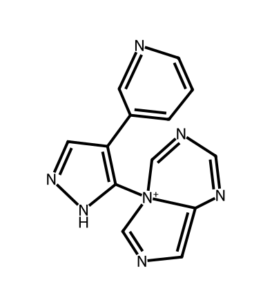 C1=NC=NC2=CN=C[N+]12c1[nH]ncc1-c1cccnc1